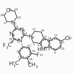 Cc1ccc([C@H]2c3[nH]c4ccc(Cl)cc4c3CCN2c2nc(N3CCOCC3)nc(C(F)(F)F)n2)c(F)c1C